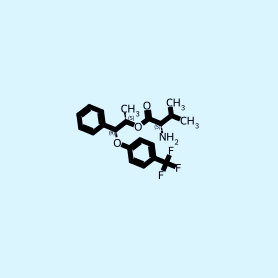 CC(C)[C@H](N)C(=O)O[C@@H](C)[C@H](Oc1ccc(C(F)(F)F)cc1)c1ccccc1